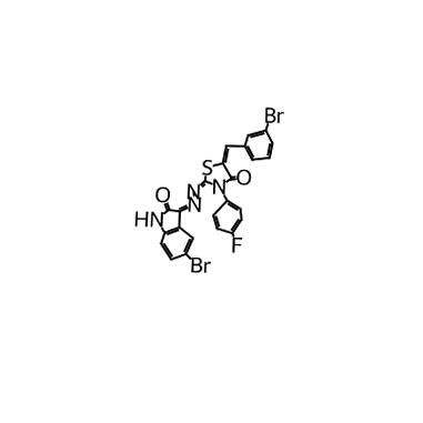 O=C1Nc2ccc(Br)cc2C1=NN=C1SC(=Cc2cccc(Br)c2)C(=O)N1c1ccc(F)cc1